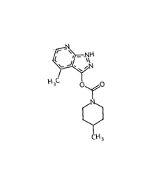 Cc1c[c]nc2[nH]nc(OC(=O)N3CCC(C)CC3)c12